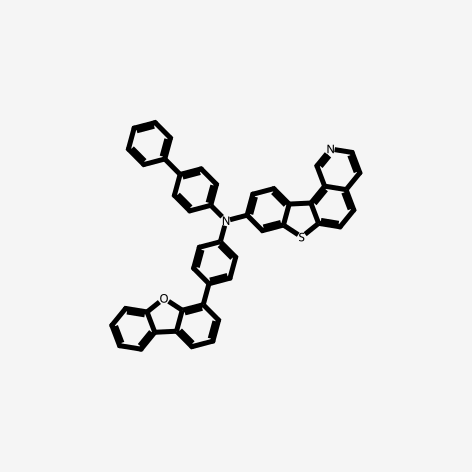 c1ccc(-c2ccc(N(c3ccc(-c4cccc5c4oc4ccccc45)cc3)c3ccc4c(c3)sc3ccc5ccncc5c34)cc2)cc1